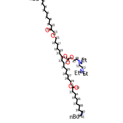 CCCC/C=C\CCCCCCCCC(=O)COCCCCCCC(CCCCCCCCOC(=O)CCCCCCC/C=C\CCCC)OC(=O)OCCN(CC)CCN(CC)CC